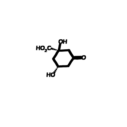 O=C1C[C@H](O)C[C@](O)(C(=O)O)C1